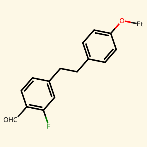 CCOc1ccc(CCc2ccc(C=O)c(F)c2)cc1